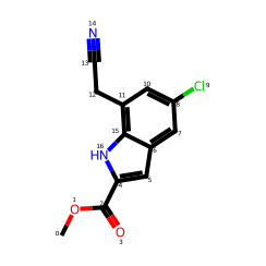 COC(=O)c1cc2cc(Cl)cc(CC#N)c2[nH]1